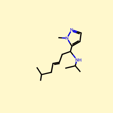 CC(C)C/C=C/CC(NC(C)C)c1ccnn1C